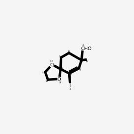 CC1(C=O)C=C(I)C2(CC1)OCCO2